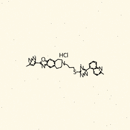 Cc1ccc2c(-c3nnc(SCCCN4CCc5cc6nc(-c7cc(C)nn7C)oc6cc5CC4)n3C)cccc2n1.Cl